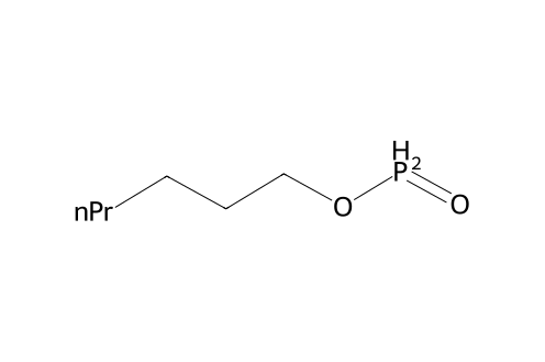 CCCCCCO[PH2]=O